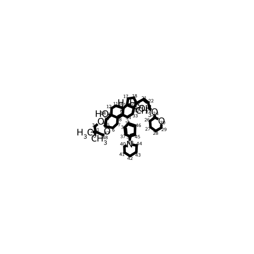 CC1(C)COC2(CCC3=C4[C@@H](CC[C@@]3(O)C2)[C@@H]2CC[C@@](O)(/C=C\COC3CCCCO3)[C@@]2(C)C[C@@H]4c2ccc(N3CCCCC3)cc2)OC1